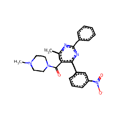 Cc1nc(-c2ccccc2)nc(-c2cccc([N+](=O)[O-])c2)c1C(=O)N1CCN(C)CC1